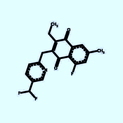 CCC1=C(Cc2ccc(C(F)F)cn2)C(=O)c2c(F)cc(C)cc2C1=O